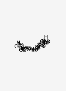 CC(C1CN(c2ccc(-c3ccc4c(c3)C(C)(C)C(=O)N4c3ccc(C#N)c(Cl)c3)cc2)C1)N1CCN(c2ccc3c(c2)C(=O)N(C2CCC(=O)NC2=O)C3=O)CC1